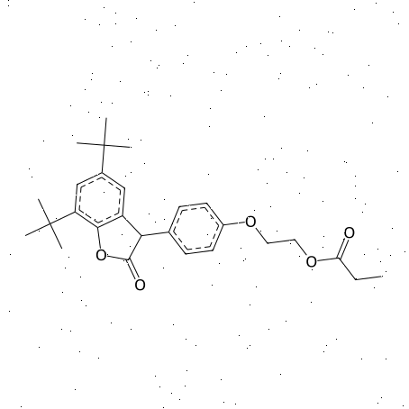 CCC(=O)OCCOc1ccc(C2C(=O)Oc3c2cc(C(C)(C)C)cc3C(C)(C)C)cc1